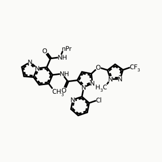 CCCNC(=O)c1c(NC(=O)c2cc(Oc3cc(C(F)(F)F)nn3C)nn2-c2ncccc2Cl)c(C)cc2ccnn12